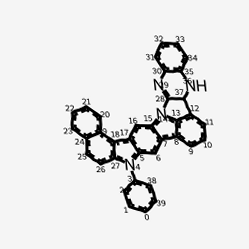 c1ccc(-n2c3cc4c5cccc6c5n(c4cc3c3c4ccccc4ccc32)C2=Nc3ccccc3NC26)cc1